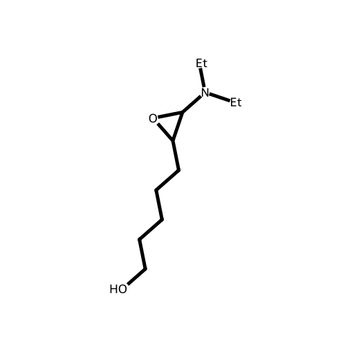 CCN(CC)C1OC1CCCCCO